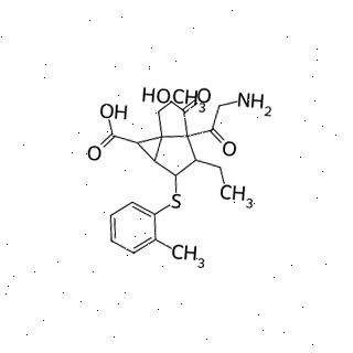 CCC1C(Sc2ccccc2C)C2C(C(=O)O)C2(CC)C1(C(=O)O)C(=O)CN